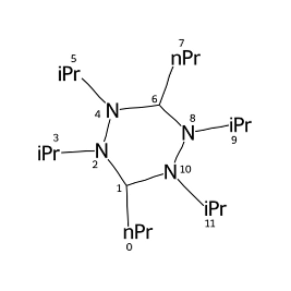 CCCC1N(C(C)C)N(C(C)C)C(CCC)N(C(C)C)N1C(C)C